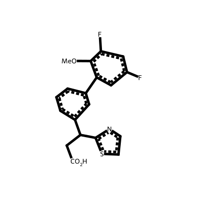 COc1c(F)cc(F)cc1-c1cccc(C(CC(=O)O)c2nccs2)c1